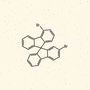 Brc1ccc2c(c1)C1(c3ccccc3-2)c2ccccc2-c2c(Br)cccc21